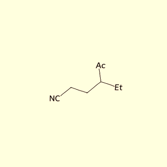 CCC(CCC#N)C(C)=O